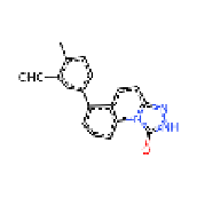 Cc1ccc(-c2cccc3c2ccc2n[nH]c(=O)n23)cc1C=O